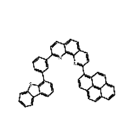 c1cc(-c2ccc3ccc4ccc(-c5ccc6ccc7cccc8ccc5c6c78)nc4c3n2)cc(-c2cccc3c2sc2ccccc23)c1